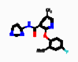 COc1cc(F)ccc1Oc1ncc(C(F)(F)F)cc1C(=O)Nc1ccncn1